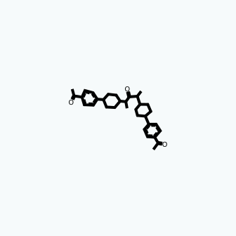 CC(=O)c1ccc(C2CCC(C(C)C(=O)C(C)C3CCC(c4ccc(C(C)=O)cc4)CC3)CC2)cc1